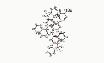 CC(C)(C)c1ccc(-c2ccc(N(c3ccc4c(c3)-c3ccccc3C4(C)C)c3ccc4ccccc4c3-c3ccc4c(c3)C(C)(C)c3ccccc3-4)c(-c3ccccc3)c2)cc1